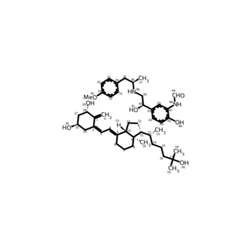 C=C1/C(=C\C=C2/CCC[C@]3(C)[C@@H]([C@H](C)CCCC(C)(C)O)CC[C@@H]23)C[C@@H](O)C[C@@H]1O.COc1ccc(C[C@@H](C)NC[C@H](O)c2ccc(O)c(NC=O)c2)cc1